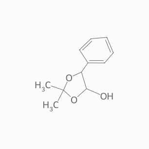 CC1(C)OC(O)C(c2ccccc2)O1